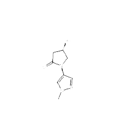 CC(C)[C@@H]1CC(=O)N(c2cnn(C)c2)C1